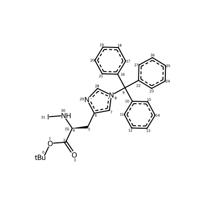 CC(C)(C)OC(=O)[C@H](Cc1cn(C(c2ccccc2)(c2ccccc2)c2ccccc2)cn1)NI